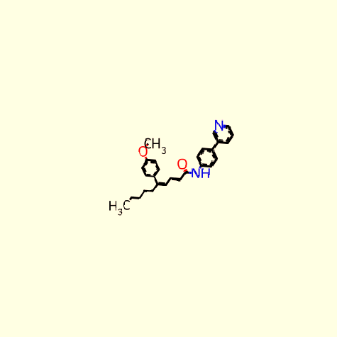 CCCCCC(=CC=CC(=O)Nc1ccc(-c2cccnc2)cc1)c1ccc(OC)cc1